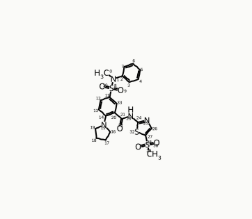 CN(c1ccccc1)S(=O)(=O)c1ccc(N2CCCC2)c(C(=O)Nc2ncc(S(C)(=O)=O)s2)c1